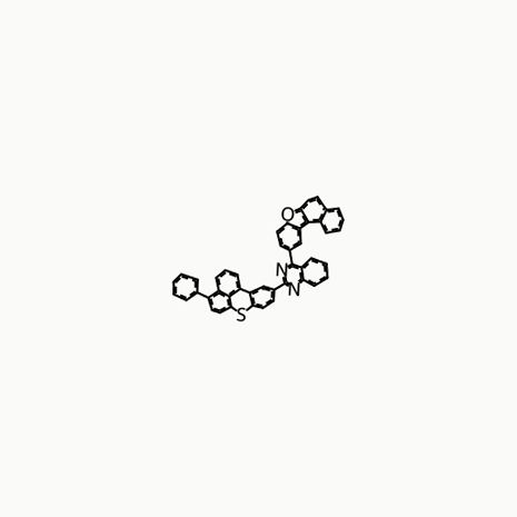 c1ccc(-c2ccc3c4c(cccc24)-c2cc(-c4nc(-c5ccc6oc7ccc8ccccc8c7c6c5)c5ccccc5n4)ccc2S3)cc1